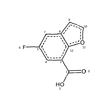 O=C(O)c1cc(F)cc2ccoc12